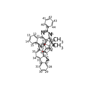 CC1(C)c2ccccc2-c2c(-c3ccccc3-n3c4ccccc4c4c5sc6ccccc6c5ccc43)nc(-c3ccccc3)nc21